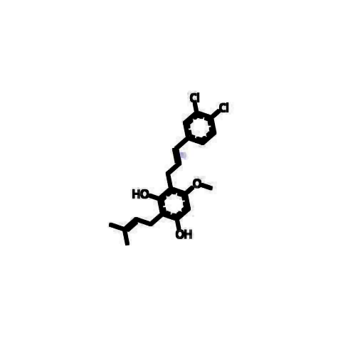 COc1cc(O)c(CC=C(C)C)c(O)c1C/C=C/c1ccc(Cl)c(Cl)c1